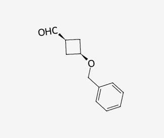 O=C[C@H]1C[C@@H](OCc2ccccc2)C1